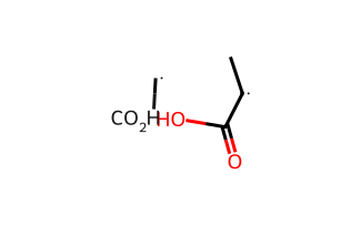 C[CH]C(=O)O.[CH2]C(=O)O